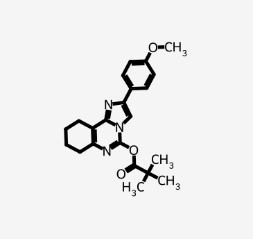 COc1ccc(-c2cn3c(OC(=O)C(C)(C)C)nc4c(c3n2)CCCC4)cc1